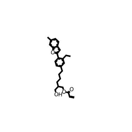 C=CC(=O)OCC(CO)CCCCc1ccc(-c2cc3ccc(C)cc3o2)c(CC)c1